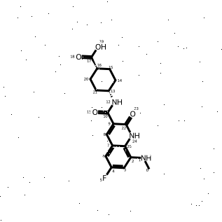 CNc1cc(F)cc2cc(C(=O)N[C@H]3CC[C@H](C(=O)O)CC3)c(=O)[nH]c12